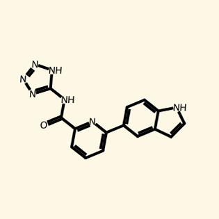 O=C(Nc1nnn[nH]1)c1cccc(-c2ccc3[nH]ccc3c2)n1